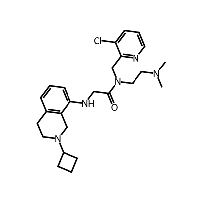 CN(C)CCN(Cc1ncccc1Cl)C(=O)CNc1cccc2c1CN(C1CCC1)CC2